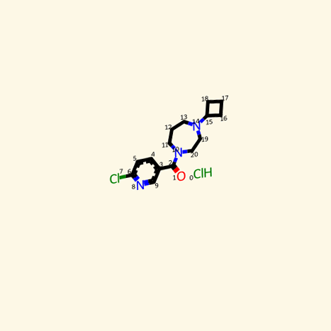 Cl.O=C(c1ccc(Cl)nc1)N1CCCN(C2CCC2)CC1